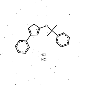 C[C](C)([Cr][C]1=CC(c2ccccc2)=CC1)c1ccccn1.Cl.Cl